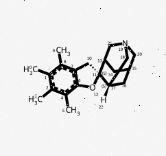 Cc1c(C)c(C)c2c(c1C)C[C@]1(O2)C2CC3C[C@H]1CN(C3)C2